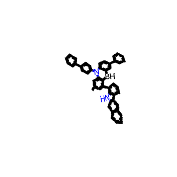 Cc1cc(-c2cccc3c2[nH]c2cc4ccccc4cc23)c2c(c1)N(c1ccc(-c3ccccc3)cc1)c1ccc(-c3ccccc3)cc1B2